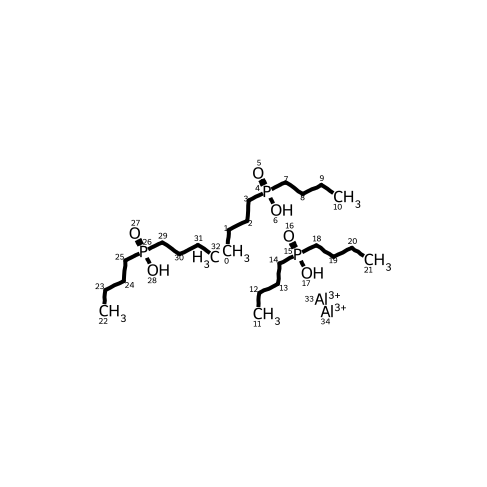 CCCCP(=O)(O)CCCC.CCCCP(=O)(O)CCCC.CCCCP(=O)(O)CCCC.[Al+3].[Al+3]